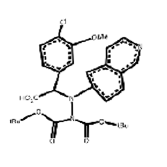 COc1cc(C(C(=O)O)N(c2ccc3cnccc3c2)N(C(=O)OC(C)(C)C)C(=O)OC(C)(C)C)ccc1Cl